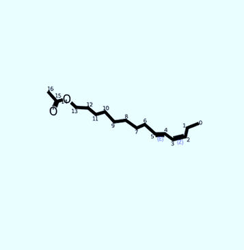 CC/C=C\C=C\CCCCCCCCOC(C)=O